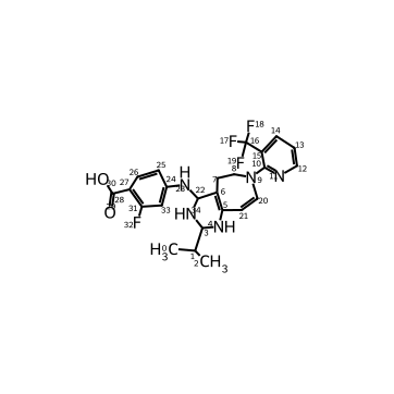 CC(C)C1NC2=C(CCN(c3ncccc3C(F)(F)F)C=C2)C(Nc2ccc(C(=O)O)c(F)c2)N1